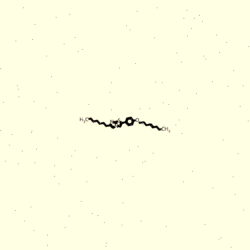 CCC/C=C/CCCOc1ccc(-c2cn3cc(CCCCCCC)nc3s2)cc1